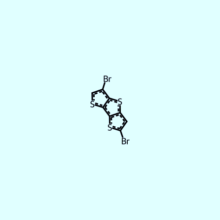 Brc1cc2sc3c(Br)csc3c2s1